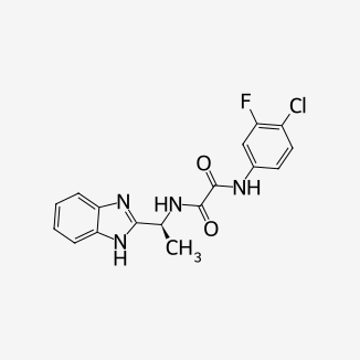 C[C@H](NC(=O)C(=O)Nc1ccc(Cl)c(F)c1)c1nc2ccccc2[nH]1